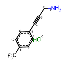 Cl.NCC#Cc1ccc(C(F)(F)F)cc1